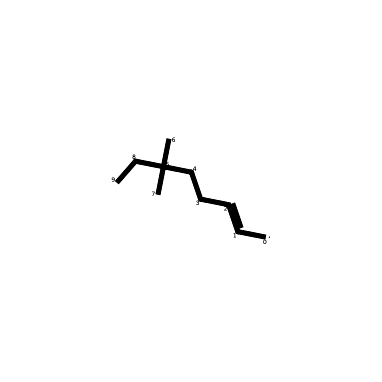 [CH2]C=CCCC(C)(C)CC